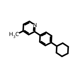 Cc1ccnc(-c2ccc(C3CCCCC3)cc2)c1